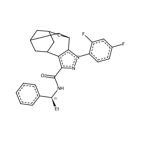 CC[C@H](NC(=O)c1nn(-c2ccc(F)cc2F)c2c1C1CC3CC(C1)CC2C3)c1ccccc1